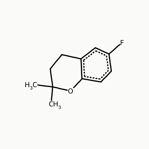 CC1(C)CCc2cc(F)ccc2O1